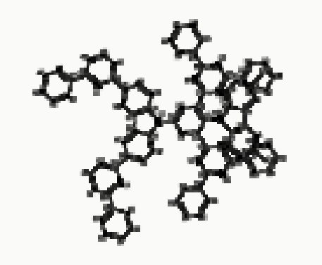 Cc1ccc2c(c1)c1cc(C)ccc1n2-c1c(-c2nc(-c3ccccc3)nc(-c3ccccc3)n2)cc(-n2c3ccc(-c4cccc(-c5ccccc5)n4)cc3c3cc(-c4cccc(-c5ccccc5)n4)ccc32)cc1-c1nc(-c2ccccc2)nc(-c2ccccc2)n1